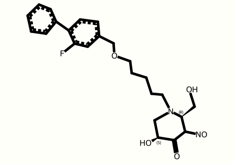 O=NC1C(=O)[C@@H](O)CN(CCCCCOCc2ccc(-c3ccccc3)c(F)c2)[C@H]1CO